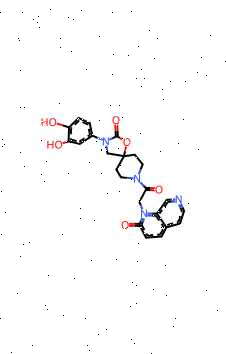 O=C(Cn1c(=O)ccc2ccncc21)N1CCC2(CC1)CN(c1ccc(O)c(O)c1)C(=O)O2